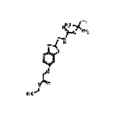 CCOC(=O)COc1ccc2c(c1)CC(CNC(=O)OC(C)(C)C)C2